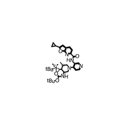 C[C@H]1CN(c2ccncc2NC(=O)c2ccc3cc(C4CC4)oc3n2)C[C@@H](NC(=O)OC(C)(C)C)C1O[Si](C)(C)C(C)(C)C